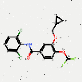 O=C(Nc1c(Cl)cccc1Cl)c1ccc(OC(F)F)c(OCC2CC2)c1